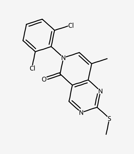 CSc1ncc2c(=O)n(-c3c(Cl)cccc3Cl)cc(C)c2n1